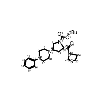 CC(C)(C)OC(=O)N1C[C@@H](N2CCN(c3ccccc3)CC2)C[C@H]1C(=O)N1CCSC1